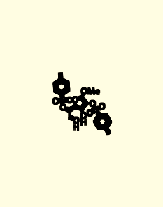 CO[C@@H]1O[C@H]([C@@H](CO)OS(=O)(=O)c2ccc(C)cc2)[C@H](O)[C@H]1OS(=O)(=O)c1ccc(C)cc1